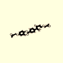 O=C(Oc1ccc(OCC2CO2)cc1F)c1ccc(-c2ccc(OCC3CO3)cc2F)cc1